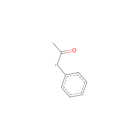 CC(=O)[C]c1ccccc1